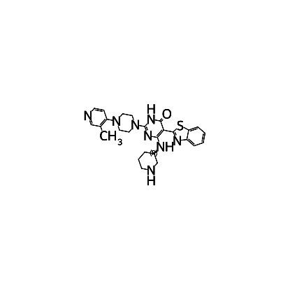 Cc1cnccc1N1CCN(c2nc(N[C@@H]3CCCNC3)c(-c3nc4ccccc4s3)c(=O)[nH]2)CC1